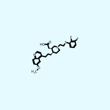 COc1ccc2nccc(CCC[C@@H]3CCN(CCSc4cccc(F)c4F)C[C@@H]3CC(=O)O)c2c1